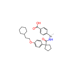 C[C@H](NC(=O)C1(c2ccc(OCCC3CCCCC3)cc2)CCCC1)c1ccc(C(=O)O)cc1